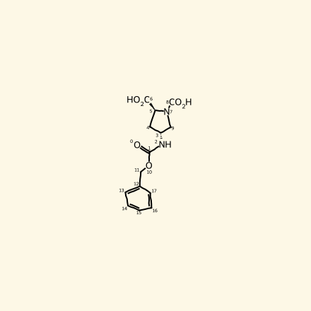 O=C(N[C@@H]1C[C@@H](C(=O)O)N(C(=O)O)C1)OCc1ccccc1